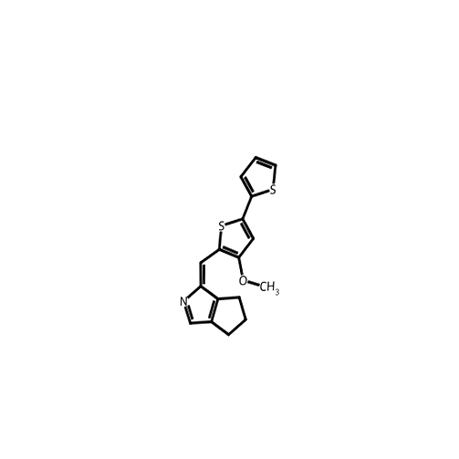 COc1cc(-c2cccs2)sc1C=C1N=CC2=C1CCC2